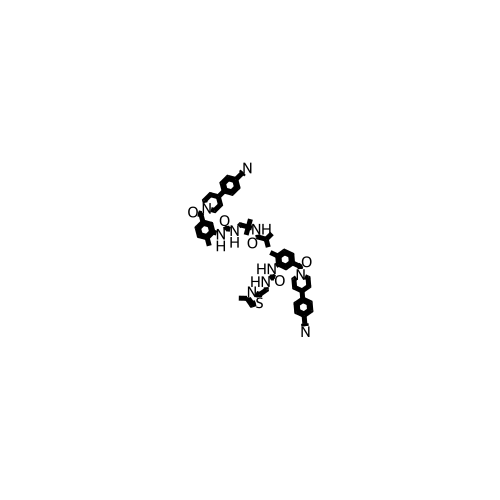 Cc1ccc(C(=O)N2CCC(c3ccc(C#N)cc3)CC2)cc1NC(=O)NCC(C)(C)NC(=O)C(C)C.Cc1csc(CNC(=O)Nc2cc(C(=O)N3CCC(c4ccc(C#N)cc4)CC3)ccc2C)n1